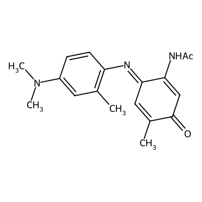 CC(=O)NC1=CC(=O)C(C)=CC1=Nc1ccc(N(C)C)cc1C